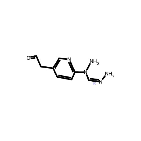 N/N=C\N(N)c1ccc(CC=O)cn1